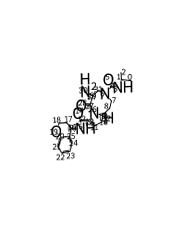 CC(C)NC(=O)N1CC[C@H]2CC[C@@H](C(=O)N[C@@H]3CCOc4ccccc43)N2C(=O)[C@@H](N)C1